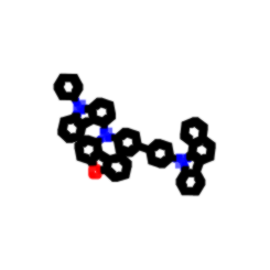 c1ccc(-n2c3ccccc3c3c(N(c4ccc(-c5ccc(-n6c7ccccc7c7ccc8ccccc8c76)cc5)cc4)c4cccc5oc6ccccc6c45)cccc32)cc1